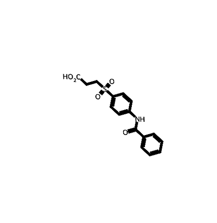 O=C(O)CCS(=O)(=O)c1ccc(NC(=O)c2ccccc2)cc1